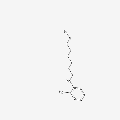 CCOCCCCCCNc1ccccc1C